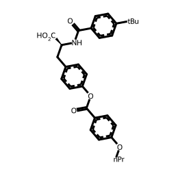 CCCOc1ccc(C(=O)Oc2ccc(C[C@H](NC(=O)c3ccc(C(C)(C)C)cc3)C(=O)O)cc2)cc1